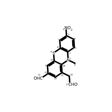 CN1c2ccc([N+](=O)[O-])cc2Sc2cc(C=O)cc(C[C]=O)c21